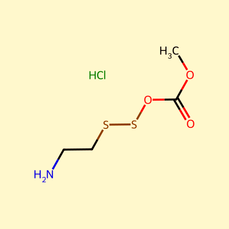 COC(=O)OSSCCN.Cl